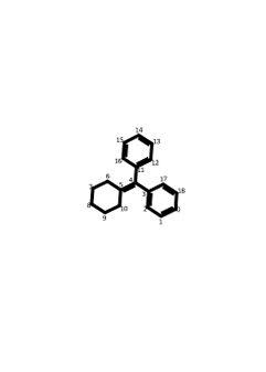 c1ccc(C(=C2CCCCC2)c2ccccc2)cc1